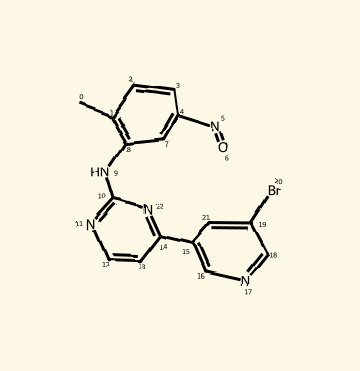 Cc1ccc(N=O)cc1Nc1nccc(-c2cncc(Br)c2)n1